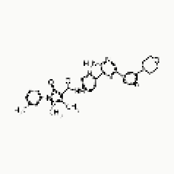 Cc1cccc(-n2c(=O)c(C(=O)Nc3ccc(-c4nc(-c5ccnc(N6CCOCC6)c5)cnc4N)nc3)c(C)n2C)c1